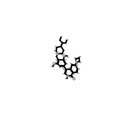 CCC(CC)C1CCN(Cc2c(OC)cc(-c3cn(C)c(=O)c4ccc(N5CCC5)cc34)cc2OC)CC1